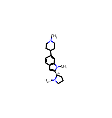 CN1CCC(c2ccc3cc([C@H]4CCCN4C)n(C)c3c2)CC1